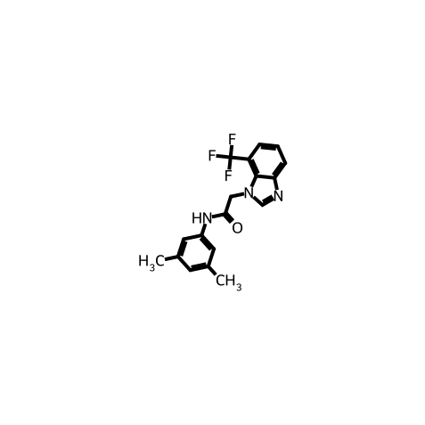 Cc1cc(C)cc(NC(=O)Cn2cnc3cccc(C(F)(F)F)c32)c1